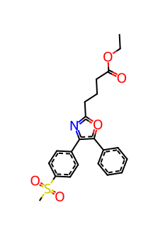 CCOC(=O)CCCc1nc(-c2ccc(S(C)(=O)=O)cc2)c(-c2ccccc2)o1